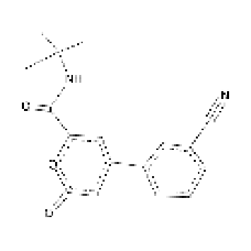 CC(C)(C)NC(=O)c1cc(-c2cccc(C#N)c2)cc(=O)o1